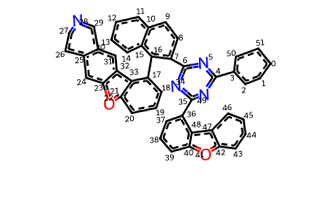 c1ccc(-c2nc(-c3ccc4ccccc4c3-c3cccc4oc5cc6ccncc6cc5c34)nc(-c3cccc4oc5ccccc5c34)n2)cc1